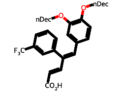 CCCCCCCCCCOc1ccc(C=C(C=CC(=O)O)c2cccc(C(F)(F)F)c2)cc1OCCCCCCCCCC